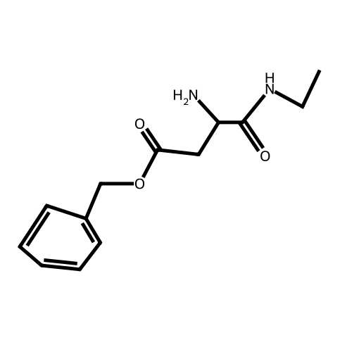 CCNC(=O)C(N)CC(=O)OCc1ccccc1